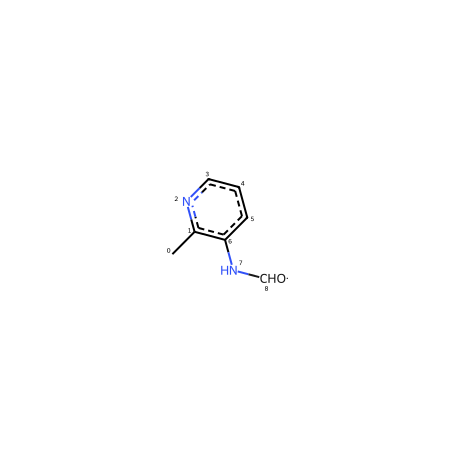 Cc1ncccc1N[C]=O